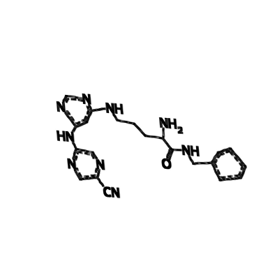 N#Cc1cnc(Nc2cc(NCCCC(N)C(=O)NCc3ccccc3)ncn2)cn1